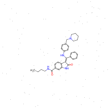 CCCCNC(=O)c1ccc2c(c1)NC(=O)C2=C(Nc1ccc(CN2CCCCC2)cc1)c1ccccc1